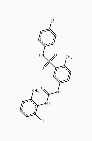 Cc1ccc(NC(=O)Nc2c(C)cccc2Cl)cc1S(=O)(=O)Nc1ccc(Cl)cc1